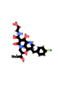 CNC(=O)[C@@H]1Cn2c(=O)c(C(=O)NCCO)c(O)c3ncc(Cc4ccc(F)cc4)c(c32)O1